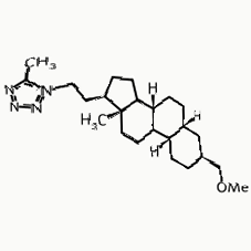 COC[C@H]1CC[C@@H]2C3CC[C@@]4(C)C(CC[C@@H]4CCn4nnnc4C)[C@@H]3CC[C@@H]2C1